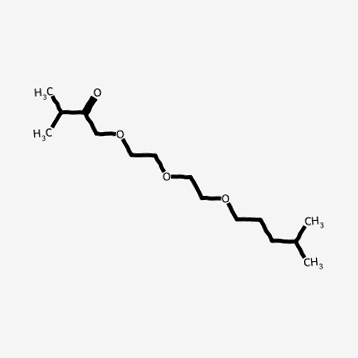 CC(C)CCCOCCOCCOCC(=O)C(C)C